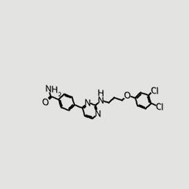 NC(=O)c1ccc(-c2ccnc(NCCCOc3ccc(Cl)c(Cl)c3)n2)cc1